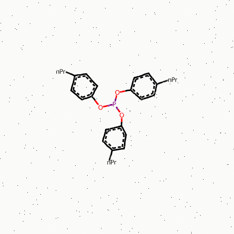 CCCc1ccc(OP(Oc2ccc(CCC)cc2)Oc2ccc(CCC)cc2)cc1